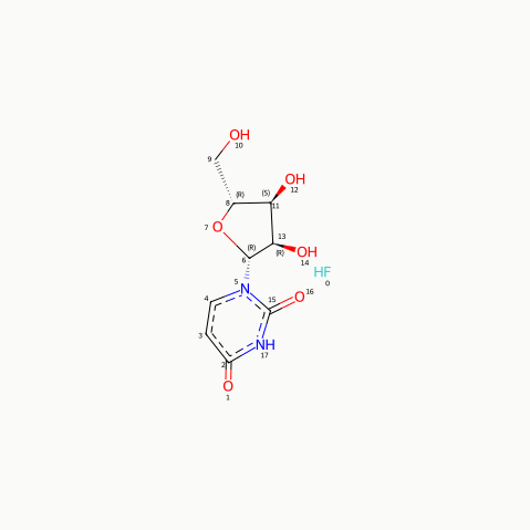 F.O=c1ccn([C@@H]2O[C@H](CO)[C@@H](O)[C@H]2O)c(=O)[nH]1